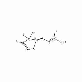 CC1=CC[C@H](C/C=C(\C)C=O)C1(C)C